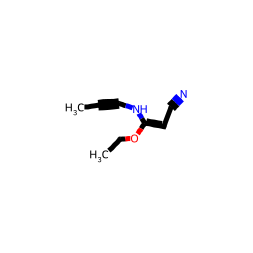 CC#CN/C(=C\C#N)OCC